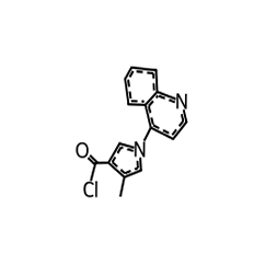 Cc1cn(-c2ccnc3ccccc23)cc1C(=O)Cl